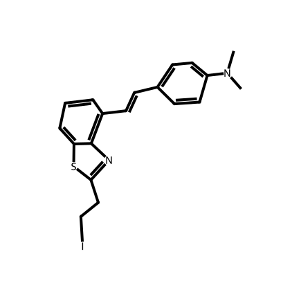 CN(C)c1ccc(/C=C/c2cccc3sc(CCI)nc23)cc1